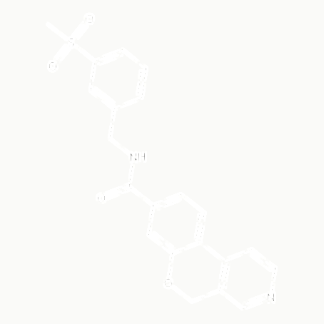 CS(=O)(=O)c1cccc(CNC(=O)c2ccc3c(c2)OCc2cnccc2-3)c1